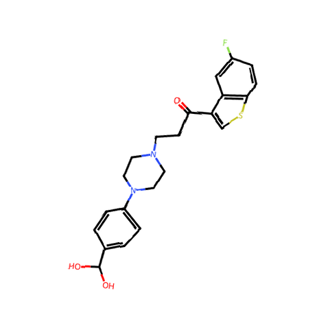 O=C(CCN1CCN(c2ccc(C(O)O)cc2)CC1)c1csc2ccc(F)cc12